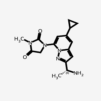 C[C@@H](N)c1cc2cc(C3CC3)cc(N3CC(=O)N(C)C3=O)n2n1